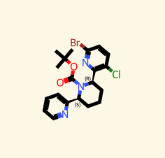 CC(C)(C)OC(=O)N1[C@@H](c2nc(Br)ccc2Cl)CCC[C@H]1c1ccccn1